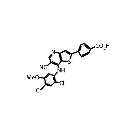 COc1cc(Nc2c(C#N)cnc3cc(-c4ccc(C(=O)O)cc4)sc23)c(Cl)cc1Cl